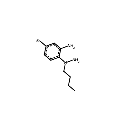 CCCCN(N)c1ccc(Br)cc1N